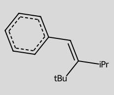 CC(C)C(=Cc1ccccc1)C(C)(C)C